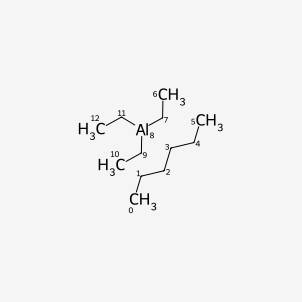 CCCCCC.C[CH2][Al]([CH2]C)[CH2]C